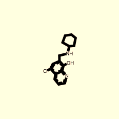 Oc1c(CNC2CCCCC2)cc(Cl)c2cccnc12